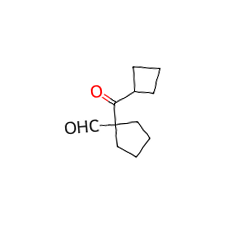 O=CC1(C(=O)C2CCC2)CCCC1